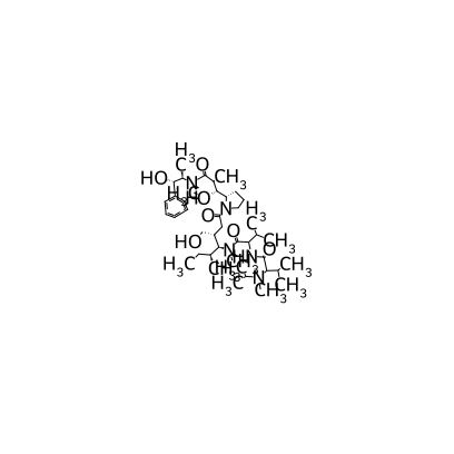 CC[C@H](C)[C@@H]([C@H](CO)CC(=O)N1CCC[C@H]1[C@H](OC)[C@@H](C)C(=O)N[C@H](C)[C@@H](O)c1ccccc1)N(C)C(=O)C(NC(=O)C(C(C)C)N(C)C(C)C)C(C)C